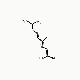 CC(/C=N/NC(N)N)=N\N=C(N)N